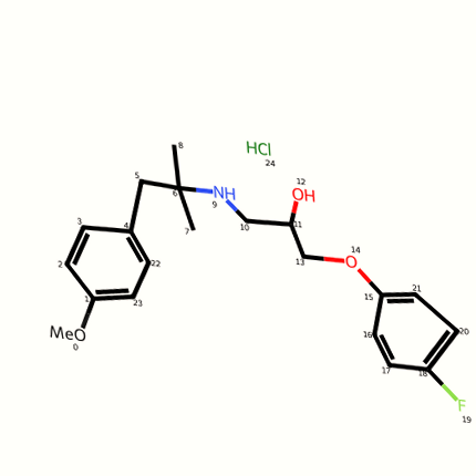 COc1ccc(CC(C)(C)NCC(O)COc2ccc(F)cc2)cc1.Cl